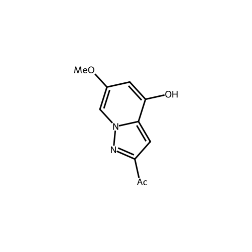 COc1cc(O)c2cc(C(C)=O)nn2c1